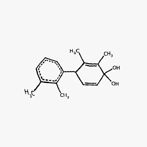 CC1=C(C)C(O)(O)C=CC1c1cccc(C)c1C